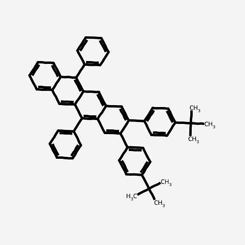 CC(C)(C)c1ccc(-c2cc3cc4c(-c5ccccc5)c5ccccc5cc4c(-c4ccccc4)c3cc2-c2ccc(C(C)(C)C)cc2)cc1